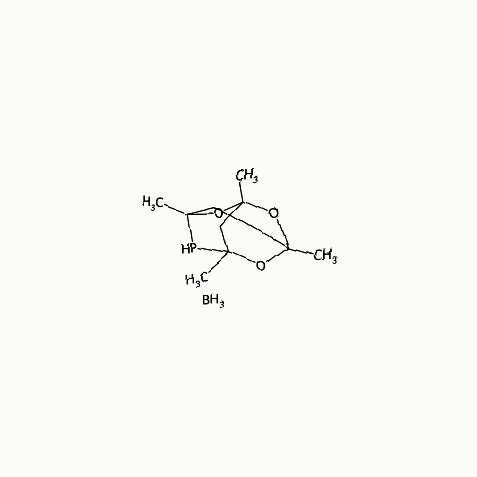 B.CC12CC3(C)OC(C)(CC(C)(O1)P3)O2